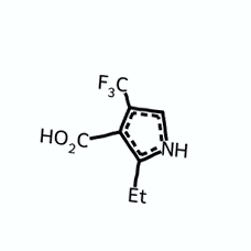 CCc1[nH]cc(C(F)(F)F)c1C(=O)O